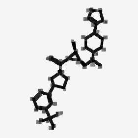 C[C@@H]1C(C(=O)N2CCC(c3cccc(C(F)(F)F)c3)C2)[C@@H]1CN(C)C1CCC(C2=CSCC2)CC1